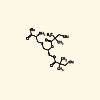 CC(C)(C)CC(C)(C)C(=O)OC[C@@H](CSC[C@H](N)C(=O)C(C)(C)C)OC(=O)C(C)(C)CC(C)(C)C